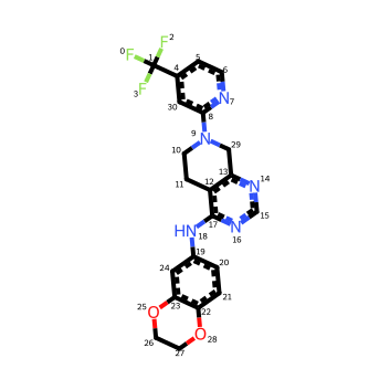 FC(F)(F)c1ccnc(N2CCc3c(ncnc3Nc3ccc4c(c3)OCCO4)C2)c1